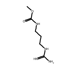 COC(=O)NCCCNC(=N)N